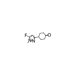 Cn1nc(C2CCC(=O)CC2)cc1F